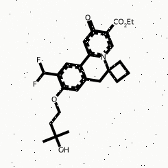 CCOC(=O)c1cn2c(cc1=O)-c1cc(C(F)F)c(OCCC(C)(C)O)cc1CC21CCC1